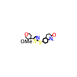 COC1(c2cnc(Sc3ccc4c(c3)CCC(=O)N4C)s2)CCOCC1